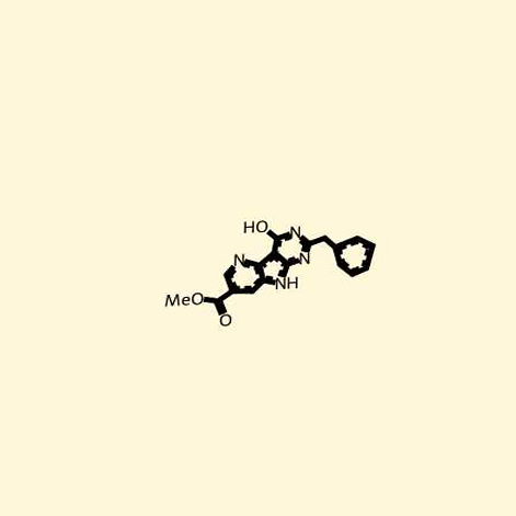 COC(=O)c1cnc2c(c1)[nH]c1nc(Cc3ccccc3)nc(O)c12